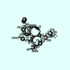 CCCCCCOc1ccc(SNC(=O)C[C@@H]2NC(=O)[C@H](NC(=O)[C@H](CC(C)C)NC)[C@H](O)c3ccc(c(Cl)c3)Oc3cc4cc(c3O[C@@H]3O[C@H](CO)[C@H](O)[C@H](O)[C@@H]3O[C@H]3C[C@](C)(N)[C@H](O)[C@H](C)O3)Oc3ccc(cc3Cl)[C@H](O)[C@H]3NC(=O)[C@@H](NC(=O)[C@@H]4NC2=O)c2ccc(O)c(c2)-c2c(O)cc(O)cc2[C@@H](C(=O)NC2C4CC5CC(C4)CC2C5)NC3=O)cc1